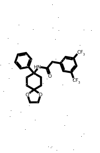 O=C(Cc1cc(C(F)(F)F)cc(C(F)(F)F)c1)NC1(c2ccccc2)CCC2(CC1)OCCO2